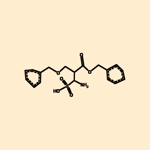 NC(C(COCc1ccccc1)C(=O)OCc1ccccc1)S(=O)(=O)O